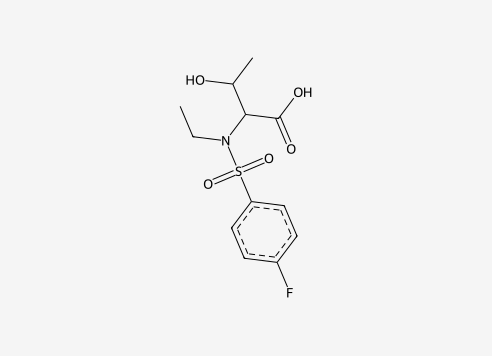 CCN(C(C(=O)O)C(C)O)S(=O)(=O)c1ccc(F)cc1